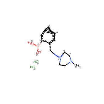 CN1CCN(Cc2ccccc2B(O)O)CC1.Cl.Cl